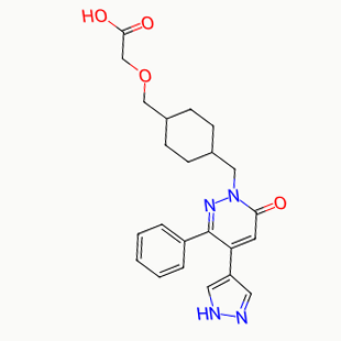 O=C(O)COCC1CCC(Cn2nc(-c3ccccc3)c(-c3cn[nH]c3)cc2=O)CC1